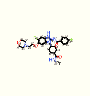 CC(C)NC(=O)C1CCC(n2/c(=N\C(=O)c3ccc(F)cc3)[nH]c3cc(F)c(OCCN4CCOCC4)cc32)CC1